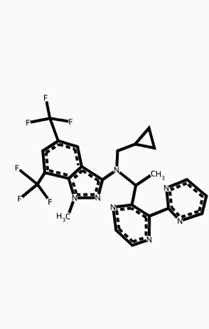 CC(c1nccnc1-c1ncccn1)N(CC1CC1)c1nn(C)c2c(C(F)(F)F)cc(C(F)(F)F)cc12